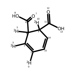 [2H]C1=C([2H])C([2H])(C(=O)O)C([2H])(C(=O)O)C=C1